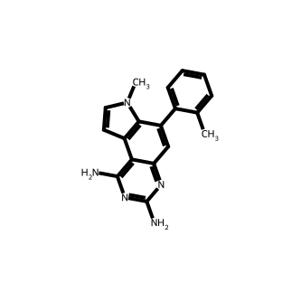 Cc1ccccc1-c1cc2nc(N)nc(N)c2c2ccn(C)c12